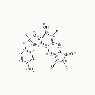 BC(C)(Cc1cnc(N)nc1)Oc1cc(/C=C2\SC(=O)N(C)C2=O)c(Br)c(F)c1O